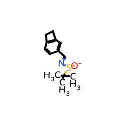 CC(C)(C)[S@@+]([O-])N=Cc1ccc2c(c1)CC2